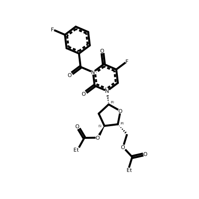 CCC(=O)OC[C@H]1O[C@@H](n2cc(F)c(=O)n(C(=O)c3cccc(F)c3)c2=O)C[C@@H]1OC(=O)CC